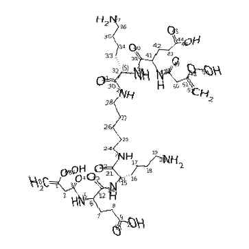 C=C(CC(=O)NC(CCC(=O)O)C(=O)N[C@@H](CCCCN)C(=O)NCCCCCNC(=O)[C@H](CCCCN)NC(=O)C(CCC(=O)O)NC(=O)CC(=C)OO)OO